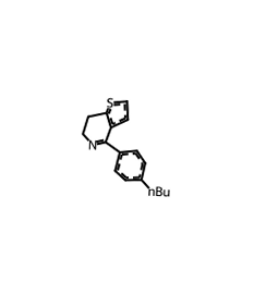 CCCCc1ccc(C2=NCCc3sccc32)cc1